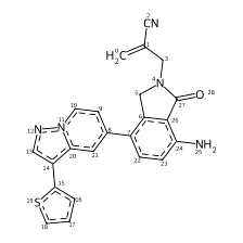 C=C(C#N)CN1Cc2c(-c3ccn4ncc(-c5cccs5)c4c3)ccc(N)c2C1=O